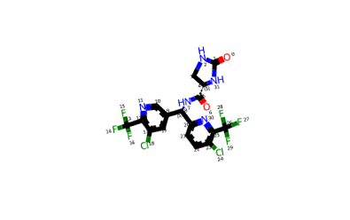 O=C1NC[C@@H](C(=O)N[C@@H](c2cnc(C(F)(F)F)c(Cl)c2)c2ccc(Cl)c(C(F)(F)F)n2)N1